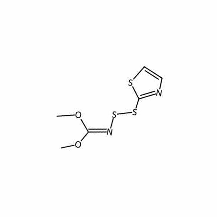 COC(=NSSc1nccs1)OC